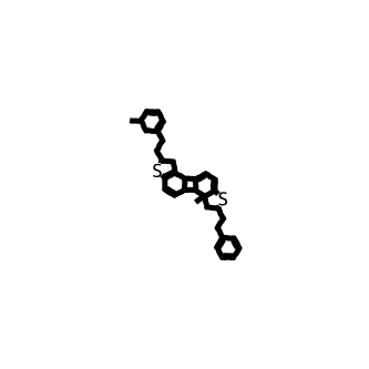 CC1C=CC=C(CCC2CC3=C(C=CC4C3C3=CC=C5SC(CCc6ccccc6)CC5(C)C34)S2)C1